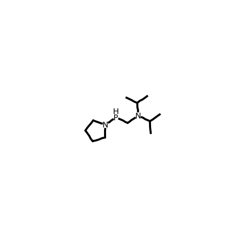 CC(C)N(CPN1CCCC1)C(C)C